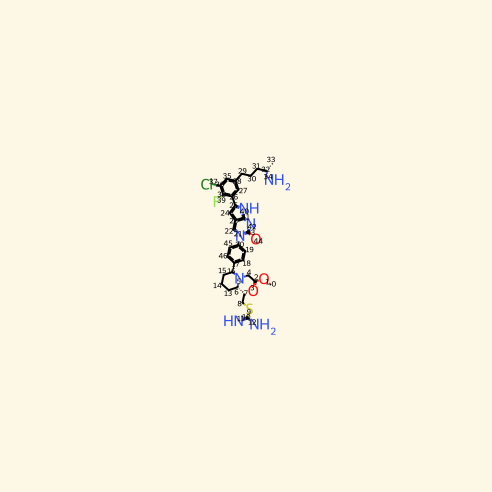 COC(=O)CN1[C@H](CCSC(=N)N)CCC[C@H]1c1ccc(-n2cc3cc(-c4cc(CCC[C@H](C)N)cc(Cl)c4F)[nH]c3nc2=O)cc1